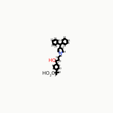 CC(C)(C(=O)O)c1ccc(C(O)CCCN2CCC(C(c3ccccc3)c3ccccc3)CC2)cc1